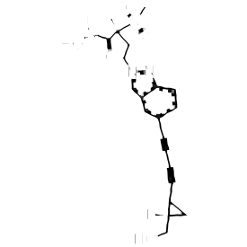 C[C@@](CCn1cc2cc(C#CC#CC3C[C@]3(F)CO)ccc2n1)(C(=O)NO)S(C)(=O)=O